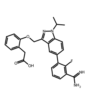 CC(C)n1nc(COc2ccccc2CC(=O)O)c2cc(-c3cccc(C(=N)N)c3F)ccc21